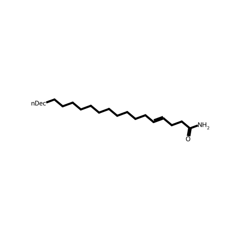 CCCCCCCCCCCCCCCCCCCCCC=CCCC(N)=O